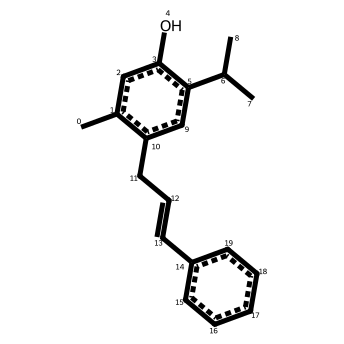 Cc1cc(O)c(C(C)C)cc1C/C=C/c1ccccc1